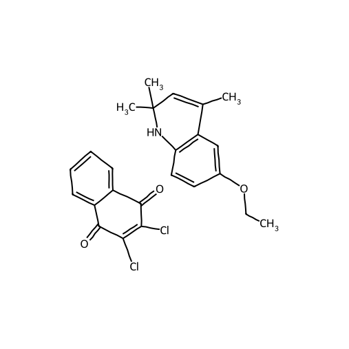 CCOc1ccc2c(c1)C(C)=CC(C)(C)N2.O=C1C(Cl)=C(Cl)C(=O)c2ccccc21